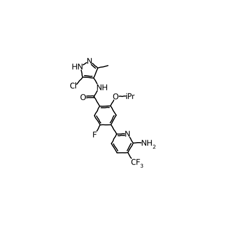 Cc1n[nH]c(Cl)c1NC(=O)c1cc(F)c(-c2ccc(C(F)(F)F)c(N)n2)cc1OC(C)C